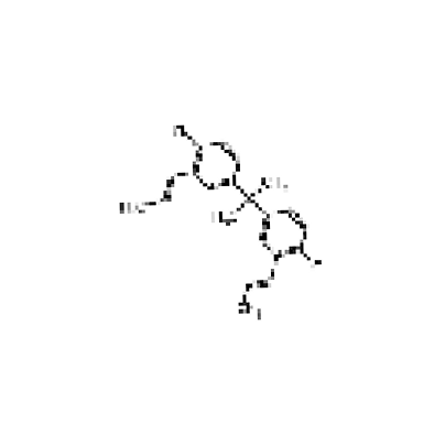 CC=Cc1cc(C(C)(C)c2ccc(Cl)c(C=CC)c2)ccc1Cl